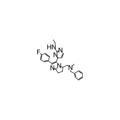 CCNc1nccc(-c2c(-c3ccc(F)cc3)nc3n2C(CN(C)Cc2ccccc2)CC3)n1